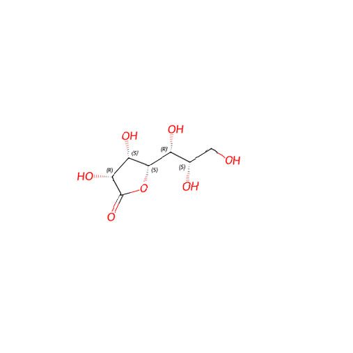 O=C1O[C@@H]([C@H](O)[C@@H](O)CO)[C@@H](O)[C@H]1O